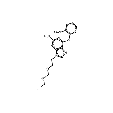 COc1ccccc1Sc1nc(N)nc2c1ncn2CCOCPCC(F)(F)F